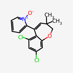 CC1(C)C=C(c2cccc[n+]2[O-])c2c(Cl)cc(Cl)cc2OC1